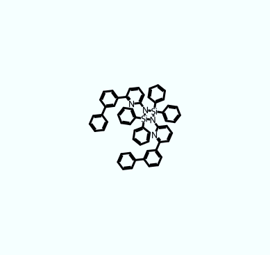 c1ccc(-c2cccc(-c3cccc(N4[Si](c5ccccc5)(c5ccccc5)N(c5cccc(-c6cccc(-c7ccccc7)c6)n5)[Si]4(c4ccccc4)c4ccccc4)n3)c2)cc1